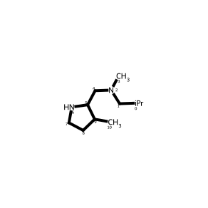 CC(C)CN(C)CC1NCCC1C